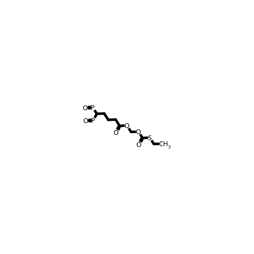 CCSC(=O)OCOC(=O)CCCC(P=O)P=O